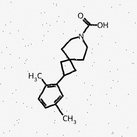 Cc1ccc(C)c(C2CC3(CCN(C(=O)O)CC3)C2)c1